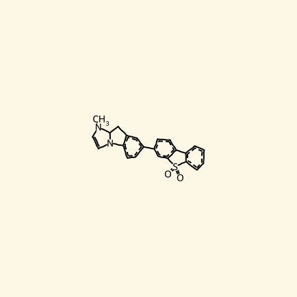 CN1C=CN2c3ccc(-c4ccc5c(c4)S(=O)(=O)c4ccccc4-5)cc3CC12